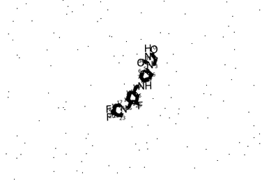 O=C1CCN(c2ccc(NCc3ccc(CN4CCC(F)(F)CC4)c(F)c3)cc2)C(=O)N1